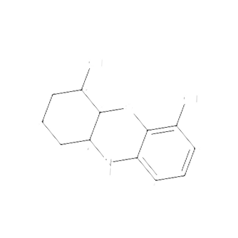 Cc1cccc2c1OC1C(C)CCCC1N2